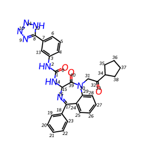 O=C(Nc1cccc(-c2nnn[nH]2)c1)NC1N=C(c2ccccc2)c2ccccc2N(CC(=O)C2CCCC2)C1=O